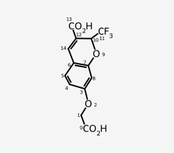 O=C(O)COc1ccc2c(c1)OC(C(F)(F)F)C(C(=O)O)=C2